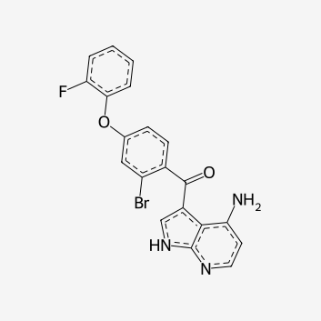 Nc1ccnc2[nH]cc(C(=O)c3ccc(Oc4ccccc4F)cc3Br)c12